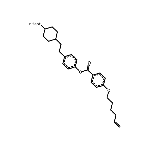 C=CCCCCOc1ccc(C(=O)Oc2ccc(CCC3CCC(CCCCCCC)CC3)cc2)cc1